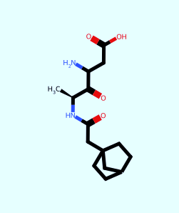 C[C@H](NC(=O)CC12CCC(CC1)C2)C(=O)C(N)CC(=O)O